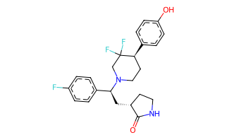 O=C1NCC[C@H]1C[C@@H](c1ccc(F)cc1)N1CC[C@H](c2ccc(O)cc2)C(F)(F)C1